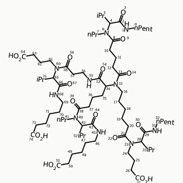 CCCCCNC(=O)C(C(C)C)N(CCC)C(=O)CCCC(=O)N(CCCCCC(=O)N(CCCC(=O)O)C(C(=O)NCCCCC)C(C)C)C(CCCC(=O)N(CCC)C(C(=O)NCCCCCC(=O)O)C(C)C)C(=O)NCCC(=O)N(CCCC(=O)O)C(C(=O)NCCCCCC(=O)O)C(C)C